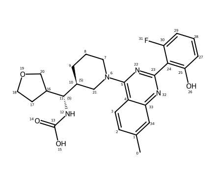 Cc1ccc2c(N3CCC[C@H]([C@H](NC(=O)O)C4CCOC4)C3)nc(-c3c(O)cccc3F)nc2c1